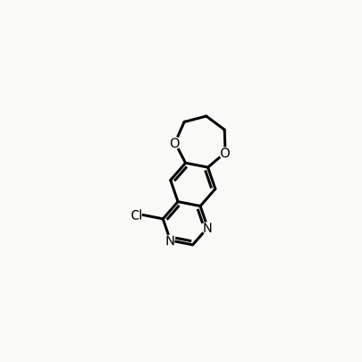 Clc1ncnc2cc3c(cc12)OCCCO3